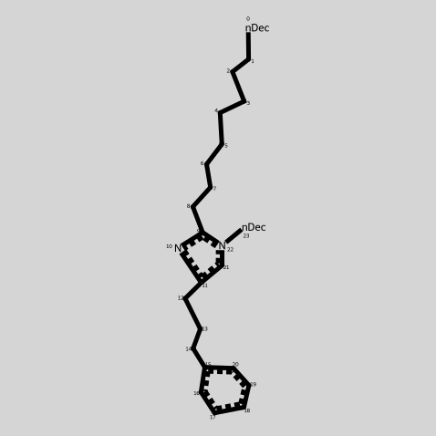 CCCCCCCCCCCCCCCCCCc1nc(CCCc2ccccc2)cn1CCCCCCCCCC